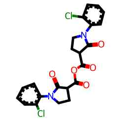 O=C(OC(=O)C1CCN(c2ccccc2Cl)C1=O)C1CCN(c2ccccc2Cl)C1=O